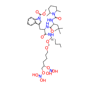 CCCC[C@@H](NC(=O)C(Cc1cn(C(=O)OC)c2ccccc12)NC(=O)C(CC(C)(C)C)NC(=O)N1C(C)CCCC1C)OCOCCCCC(CON(O)O)ON(O)O